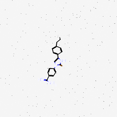 N=C(N)c1ccc(-n2cc(-c3ccc(CCC(=O)O)cc3)[nH]c2=S)cc1